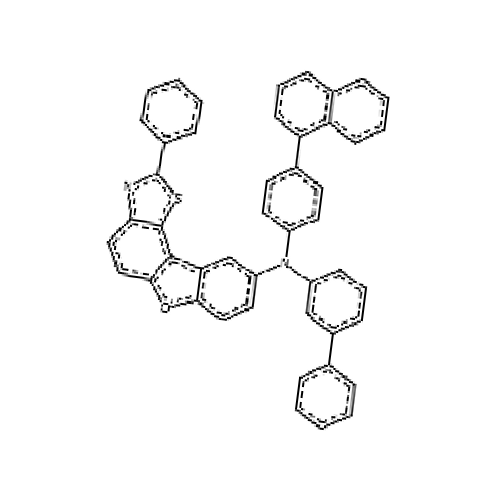 c1ccc(-c2cccc(N(c3ccc(-c4cccc5ccccc45)cc3)c3ccc4oc5ccc6nc(-c7ccccc7)sc6c5c4c3)c2)cc1